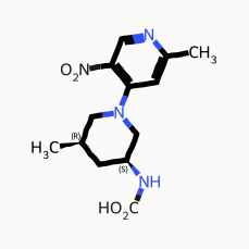 Cc1cc(N2C[C@H](C)C[C@H](NC(=O)O)C2)c([N+](=O)[O-])cn1